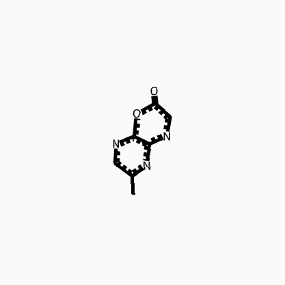 Cc1cnc2oc(=O)cnc2n1